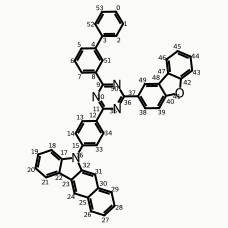 c1ccc(-c2cccc(-c3nc(-c4ccc(-n5c6ccccc6c6cc7ccccc7cc65)cc4)nc(-c4ccc5oc6ccccc6c5c4)n3)c2)cc1